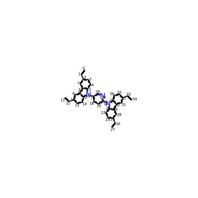 C=Cc1ccc2c(c1)c1cc(C=C)ccc1n2-c1ccc(-n2c3ccc(C=C)cc3c3cc(C=C)ccc32)nc1